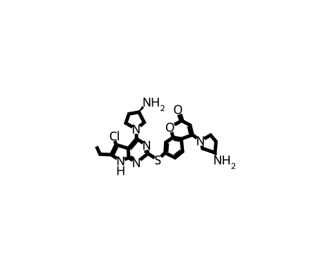 CCc1[nH]c2nc(Sc3ccc4c(N5CC[C@@H](N)C5)cc(=O)oc4c3)nc(N3CC[C@@H](N)C3)c2c1Cl